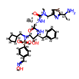 CC[C@H](C)[C@H](NC(=O)N(C)Cc1csc([C@H](C)N)n1)C(=O)N[C@@H](Cc1ccccc1)[C@H](O)CN(CC1CCCC1)S(=O)(=O)c1ccc(C=NO)cc1